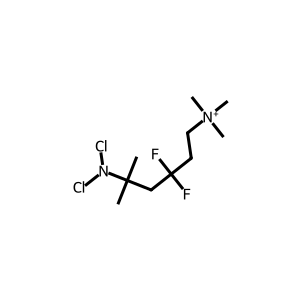 CC(C)(CC(F)(F)CC[N+](C)(C)C)N(Cl)Cl